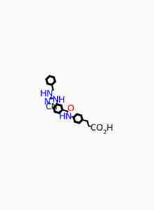 N#CN=C(NCc1ccccc1)Nc1cccc(C(=O)Nc2ccc(CCC(=O)O)cc2)c1